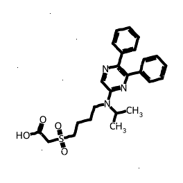 CC(C)N(CCCCS(=O)(=O)CC(=O)O)c1cnc(-c2ccccc2)c(-c2ccccc2)n1